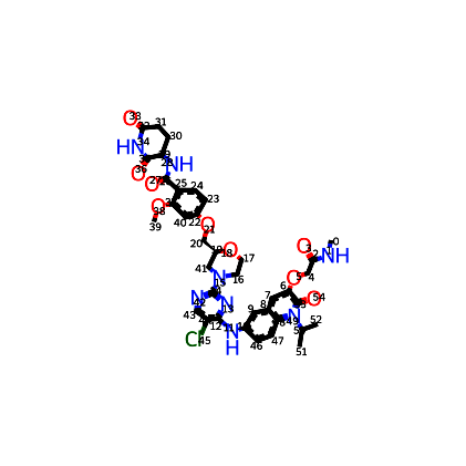 CNC(=O)COc1cc2cc(Nc3nc(N4CCO[C@H](COc5ccc(C(=O)NC6CCC(=O)NC6=O)c(OC)c5)C4)ncc3Cl)ccc2n(C(C)C)c1=O